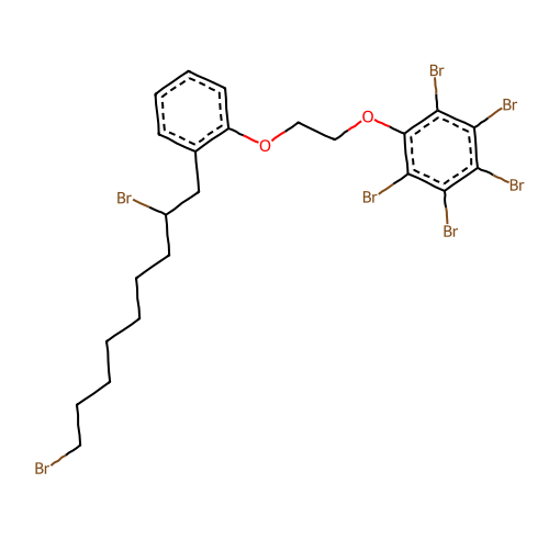 BrCCCCCCCC(Br)Cc1ccccc1OCCOc1c(Br)c(Br)c(Br)c(Br)c1Br